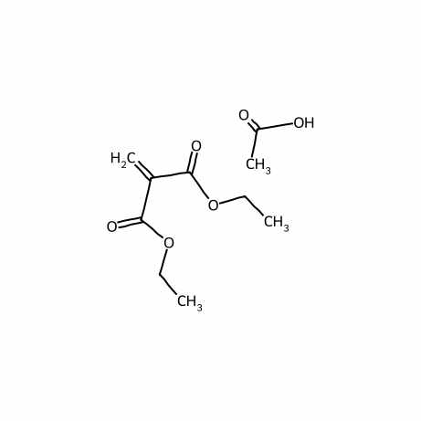 C=C(C(=O)OCC)C(=O)OCC.CC(=O)O